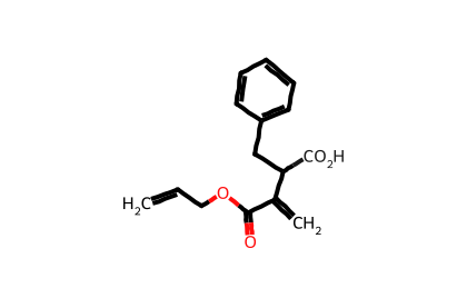 C=CCOC(=O)C(=C)C(Cc1ccccc1)C(=O)O